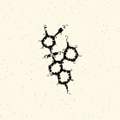 N#Cc1cc(S(=O)(=O)c2cnc3cc(F)ccc3c2-c2cccc(F)c2)ccc1F